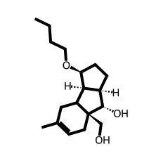 CCCCO[C@H]1CC[C@@H]2[C@H]1C1CC(C)=CC[C@@]1(CO)[C@H]2O